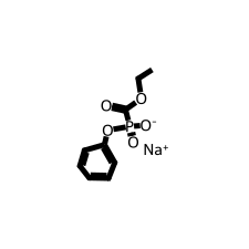 CCOC(=O)P(=O)([O-])Oc1ccccc1.[Na+]